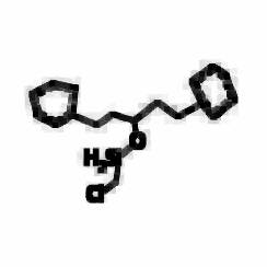 ClC[SiH2]OC(CCc1ccccc1)CCc1ccccc1